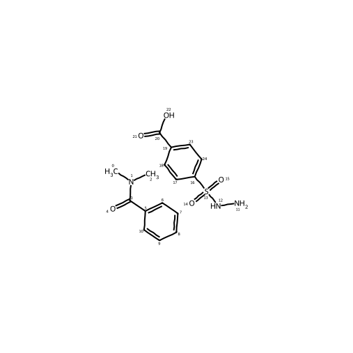 CN(C)C(=O)c1ccccc1.NNS(=O)(=O)c1ccc(C(=O)O)cc1